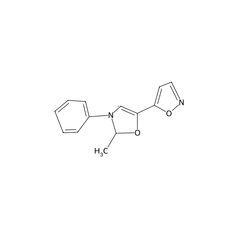 CC1OC(c2ccno2)=[C]N1c1ccccc1